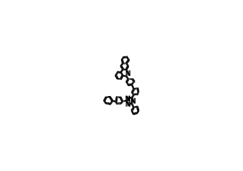 c1ccc(-c2ccc(-c3nc(-c4ccccc4)nc(-c4cccc(-c5ccc(-c6nc7cc8ccccc8cc7c7ccccc67)cc5)c4)n3)cc2)cc1